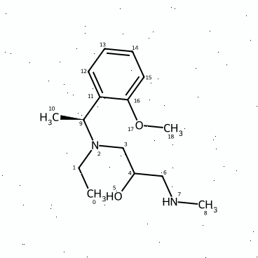 CCN(CC(O)CNC)[C@@H](C)c1ccccc1OC